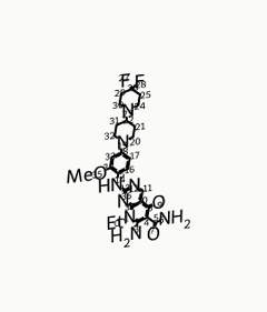 CCn1c(N)c(C(N)=O)c(=O)c2cnc(Nc3ccc(N4CCC(N5CCC(F)(F)CC5)CC4)cc3OC)nc21